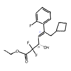 CCOC(=O)C(F)(F)[C@@H](O)/C=C(\CC1CCC1)c1ccccc1F